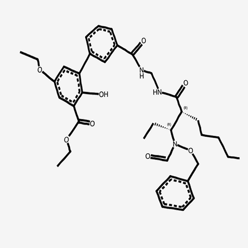 CCCCC[C@@H](C(=O)NCNC(=O)c1cccc(-c2cc(OCC)cc(C(=O)OCC)c2O)c1)[C@@H](CC)N(C=O)OCc1ccccc1